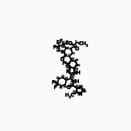 CCS(=O)(=O)CC[C@H](C(=O)N1CC(F)(F)C(F)(F)C1)c1ccc2[nH]c([C@@H](NC(=O)c3nonc3C)C3CCC(F)(F)CC3)nc2c1F